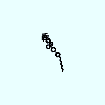 CCCCCCCCc1ccc([C@H]2CC[C@H](C(=O)Oc3ccc(S(F)(F)(F)(F)F)cc3)CC2)cc1